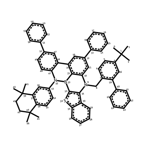 CC(C)(C)c1ccc(CN2c3cc(-c4ccccc4)cc4c3B(c3sc5ccccc5c32)N(c2ccc3c(c2)C(C)(C)CCC3(C)C)c2ccc(-c3ccccc3)cc2-4)c(-c2ccccc2)c1